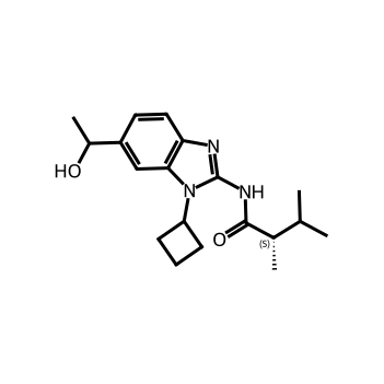 CC(O)c1ccc2nc(NC(=O)[C@@H](C)C(C)C)n(C3CCC3)c2c1